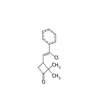 CC1(C)C(=O)CC1C=C(Cl)c1ccccc1